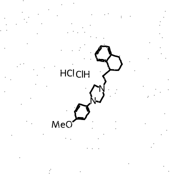 COc1ccc(N2CCN(CCC3CCCc4ccccc43)CC2)cc1.Cl.Cl